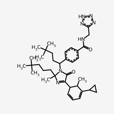 CC1C(C2CC2)=CC=CC1C1=NC(C)(CCCC(C)(C)C)N(C(CCC(C)(C)C)c2ccc(C(=O)NCc3nn[nH]n3)cc2)C1=O